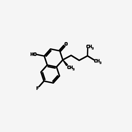 CC(C)CC[C@@]1(C)C(=O)C=C(O)c2cc(F)ccc21